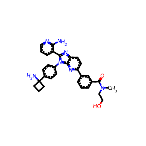 CN(CCO)C(=O)c1cccc(-c2ccc3nc(-c4cccnc4N)n(-c4ccc(C5(N)CCC5)cc4)c3n2)c1